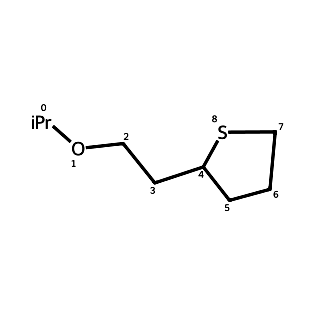 CC(C)OCCC1CCCS1